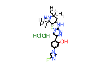 CC1(C)C[C@H](Nc2ncc(-c3ccc(-n4cnc(F)c4)cc3O)nn2)[C@H](F)C(C)(C)N1.Cl.Cl